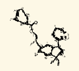 CC1(C)CC=C(c2cccs2)c2cc(C=COC(=O)c3ccccc3)ccc21